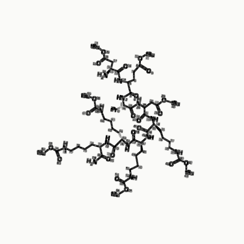 CC(C)[C@H](NC(=O)C(CCC(=O)OC(C)(C)C)NC(=O)[C@@H](N)CC(=O)OC(C)(C)C)C(=O)NC(CC(=O)OC(C)(C)C)C(=O)N[C@@H](CCCCNC(=O)OC(C)(C)C)C(=O)N[C@@H](CCCCNC(=O)OC(C)(C)C)C(=O)N[C@@H](CCCCNC(=O)OC(C)(C)C)C(=O)NC(CCCCNC(=O)OC(C)(C)C)C(N)=O